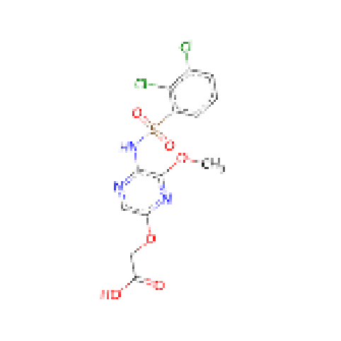 COc1nc(OCC(=O)O)cnc1NS(=O)(=O)c1cccc(Cl)c1Cl